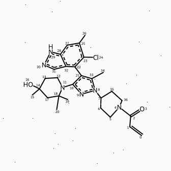 C=CC(=O)N1CCC(n2nc(N3CCC(C)(O)CC3(C)C)c(-c3c(Cl)c(C)cc4[nH]ncc34)c2C)CC1